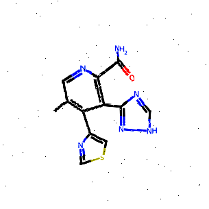 Cc1cnc(C(N)=O)c(-c2nc[nH]n2)c1-c1cscn1